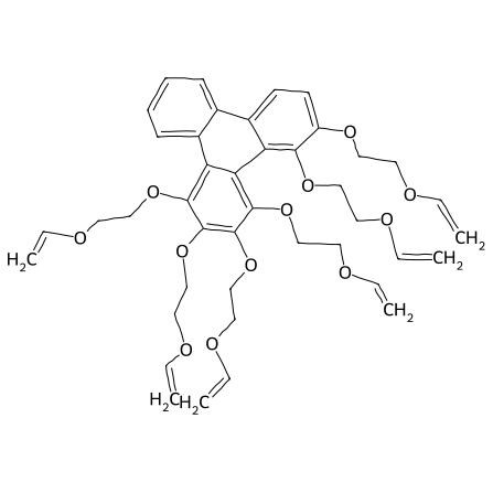 C=COCCOc1ccc2c3ccccc3c3c(OCCOC=C)c(OCCOC=C)c(OCCOC=C)c(OCCOC=C)c3c2c1OCCOC=C